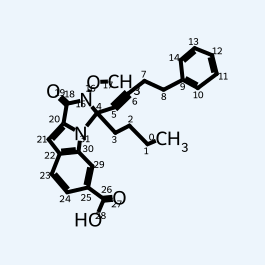 CCCCC1(C#CCCc2ccccc2)N(OC)C(=O)c2cc3ccc(C(=O)O)cc3n21